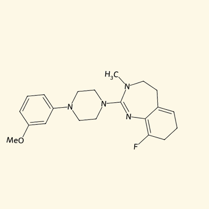 COc1cccc(N2CCN(C3=NC4=C(F)CCC=C4CCN3C)CC2)c1